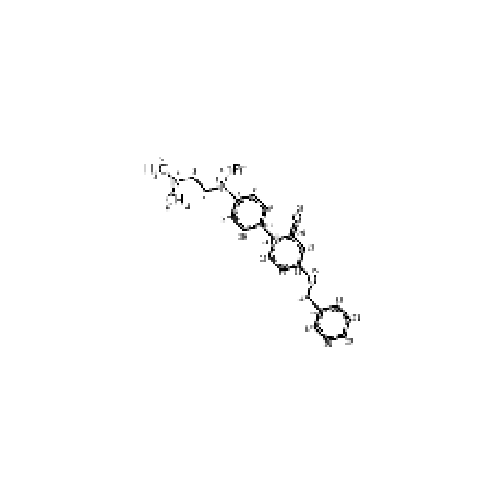 CCCN(CCN(C)C)c1ccc(-n2ccc(OCc3ccccc3)cc2=O)cc1